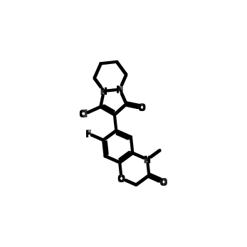 CN1C(=O)COc2cc(F)c(-c3c(Cl)n4n(c3=O)CCCC4)cc21